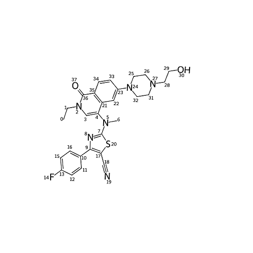 CCn1cc(N(C)c2nc(-c3ccc(F)cc3)c(C#N)s2)c2cc(N3CCN(CCO)CC3)ccc2c1=O